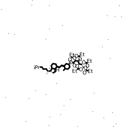 CCC(=O)OC[C@@H](OC(=O)CC)[C@@H](OC(=O)CC)[C@H](OC(=O)CC)[C@@H](OC(=O)CC)C(=O)O[C@H]1CCC(C)/C(=C\C=C2/CCC[C@]3(C)[C@@H]([C@H](C)CCCC(C)C)CC[C@@H]23)C1